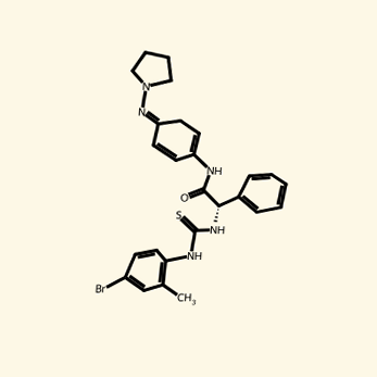 Cc1cc(Br)ccc1NC(=S)N[C@H](C(=O)NC1=CCC(=NN2CCCC2)C=C1)c1ccccc1